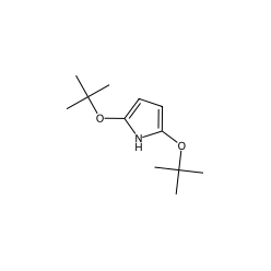 CC(C)(C)Oc1ccc(OC(C)(C)C)[nH]1